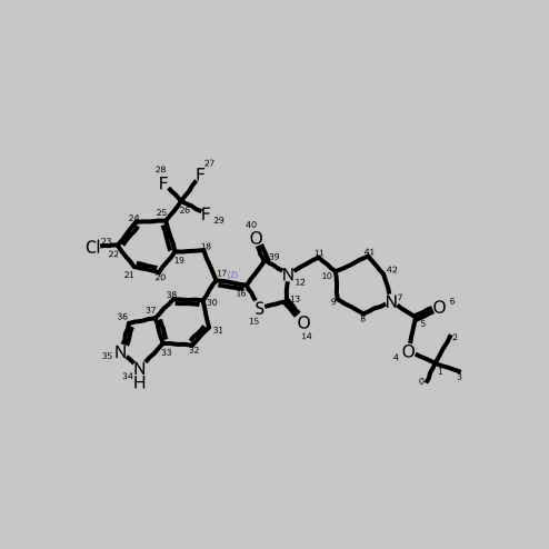 CC(C)(C)OC(=O)N1CCC(CN2C(=O)S/C(=C(/Cc3ccc(Cl)cc3C(F)(F)F)c3ccc4[nH]ncc4c3)C2=O)CC1